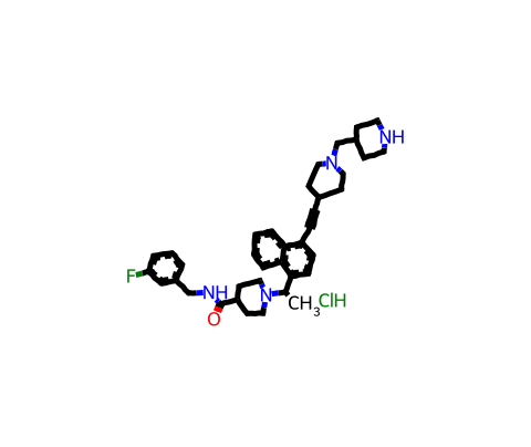 CC(c1ccc(C#CC2CCN(CC3CCNCC3)CC2)c2ccccc12)N1CCC(C(=O)NCc2cccc(F)c2)CC1.Cl